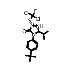 CC(C)C1NN(SC(F)(Cl)Cl)C(=O)N1c1ccc(C(C)(C)C)cc1